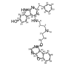 CN(CCCNc1nc(Cc2ccccc2)nc2[nH]c3cc(O)ccc3c12)CCCOc1ncnc2oc3ccccc3c12